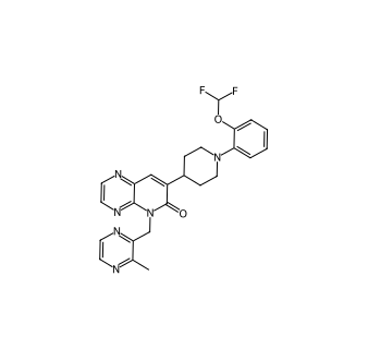 Cc1nccnc1Cn1c(=O)c(C2CCN(c3ccccc3OC(F)F)CC2)cc2nccnc21